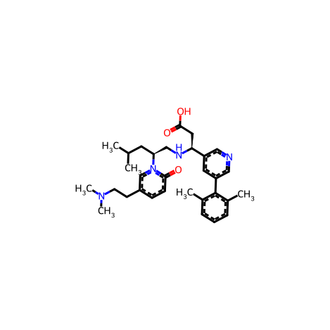 Cc1cccc(C)c1-c1cncc([C@H](CC(=O)O)NC[C@H](CC(C)C)n2cc(CCN(C)C)ccc2=O)c1